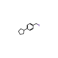 ICc1ccc(C2CCCC2)cc1